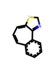 C1=Cc2ccccc2C2=NCSC2=C1